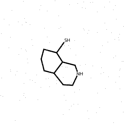 SC1CCCC2CCNCC12